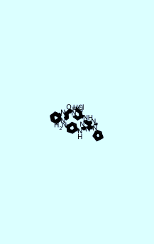 Cl.Cl.NC1CCC(Nc2nc(NC3CCN(C(=O)c4cnc5ccccc5n4)CC3)c3ncn(C4CCCC4)c3n2)CC1